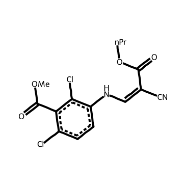 CCCOC(=O)C(C#N)=CNc1ccc(Cl)c(C(=O)OC)c1Cl